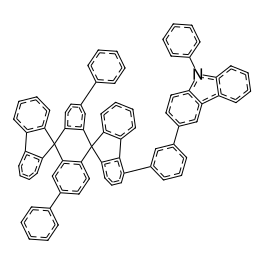 c1ccc(-c2ccc3c(c2)C2(c4ccccc4-c4ccccc42)c2ccc(-c4ccccc4)cc2C32c3ccccc3-c3c(-c4cccc(-c5ccc6c(c5)c5ccccc5n6-c5ccccc5)c4)cccc32)cc1